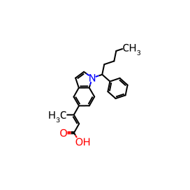 CCCCC(c1ccccc1)n1ccc2cc(C(C)=CC(=O)O)ccc21